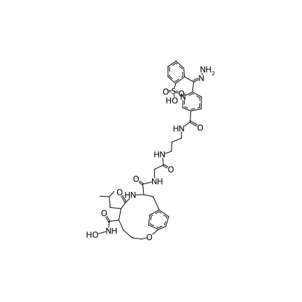 CC(C)CC1C(=O)NC(C(=O)NCC(=O)NCCCNC(=O)c2ccc(/C(=N/N)c3ccccc3S(=O)(=O)O)nc2)Cc2ccc(cc2)OCCCC1C(=O)NO